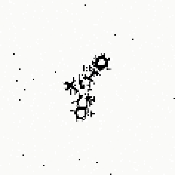 CC(C)(C)C[C@H](NC(=O)c1nc2ccccc2[nH]1)C(=O)N[C@H](C#N)C[C@@H]1CCCNC1=O